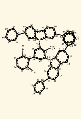 N#Cc1c(-n2c3cc(-c4ccccc4)ccc3c3ccc(-c4ccccc4)cc32)cc(-c2c(F)cccc2F)cc1-n1c2cc(-c3ccccc3)ccc2c2ccc(-c3ccccc3)cc21